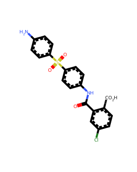 Nc1ccc(S(=O)(=O)c2ccc(NC(=O)c3cc(Cl)ccc3C(=O)O)cc2)cc1